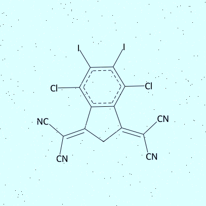 N#CC(C#N)=C1CC(=C(C#N)C#N)c2c(Cl)c(I)c(I)c(Cl)c21